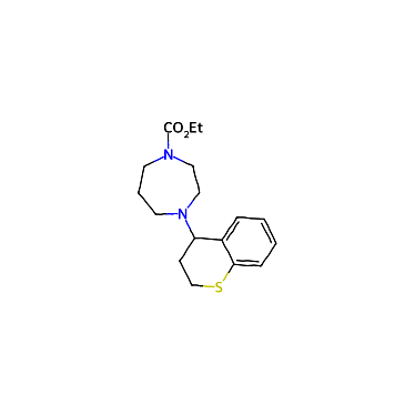 CCOC(=O)N1CCCN(C2CCSc3ccccc32)CC1